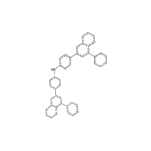 c1ccc(-c2cc(-c3ccc(Nc4ccc(-c5cc(-c6ccccc6)c6ccccc6c5)cc4)cc3)cc3ccccc23)cc1